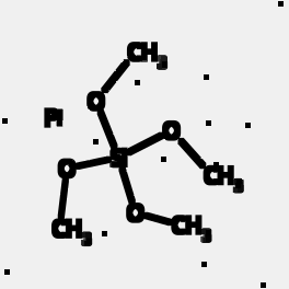 CO[Si](OC)(OC)OC.[P]